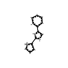 c1ccc(-c2csc(-c3ccc[nH]3)n2)cc1